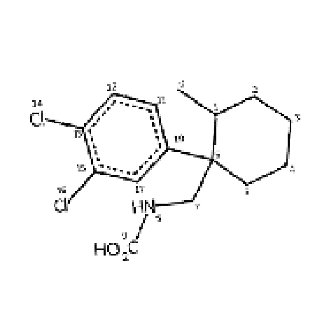 CC1CCCCC1(CNC(=O)O)c1ccc(Cl)c(Cl)c1